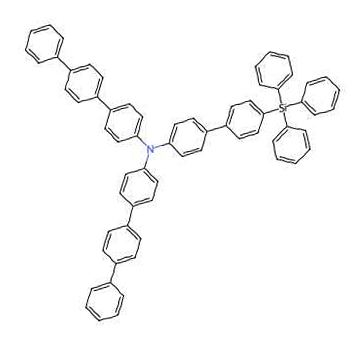 c1ccc(-c2ccc(-c3ccc(N(c4ccc(-c5ccc(-c6ccccc6)cc5)cc4)c4ccc(-c5ccc([Si](c6ccccc6)(c6ccccc6)c6ccccc6)cc5)cc4)cc3)cc2)cc1